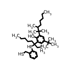 CCCCCC(C)C(C)(C)c1cc(C(C)(C)C)cc(C(CC)(CCCCC)Pc2ccccc2CS)c1O